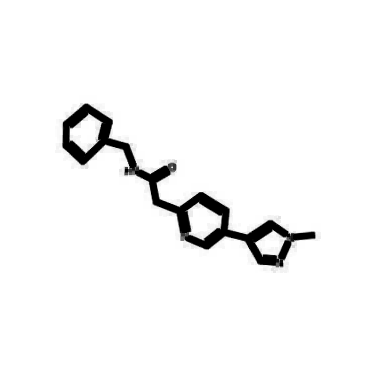 Cn1cc(-c2ccc(CC(=O)NCc3ccccc3)nc2)cn1